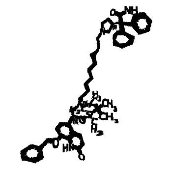 CC(C)(C)[Si](C)(C)O[C@H](CNCCCCCCCCCN1CC[C@@H](C(C(N)=O)(c2ccccc2)c2ccccc2)C1)c1ccc(OCc2ccccc2)c2[nH]c(=O)ccc12